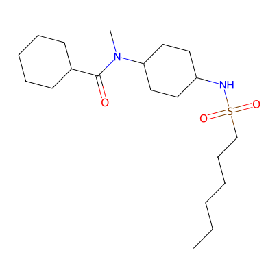 CCCCCCS(=O)(=O)NC1CCC(N(C)C(=O)C2CCCCC2)CC1